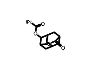 CC(C)C(=O)OC1C2CC3CC(C2)C(=O)OC1C3